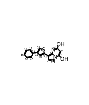 Oc1cc(O)n2ncc(-c3cc(-c4ccccc4)cs3)c2n1